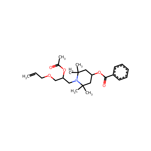 C=CCOCC(CN1C(C)(C)CC(OC(=O)c2ccccc2)CC1(C)C)OC(C)=O